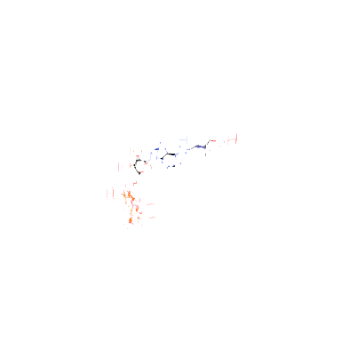 C/C(=C\CNc1ncnc2c1ncn2[C@@H]1O[C@H](COP(=O)(O)OP(=O)(O)O)[C@@H](O)[C@H]1O)CO